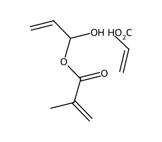 C=CC(=O)O.C=CC(O)OC(=O)C(=C)C